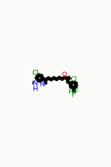 C=C(Cc1cc(C(F)(F)F)ccc1Cl)C(=O)CCCCCCC1C=Nc2c(NC)cc(Cl)cc21